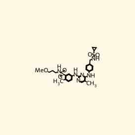 COCCCNS(=O)(=O)c1cc(Nc2ncc(C)c(Nc3ccc(CNS(=O)(=O)C4CC4)cc3)n2)ccc1C